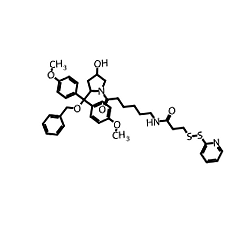 COc1ccc(C(OCc2ccccc2)(c2ccc(OC)cc2)C2CC(O)CN2C(=O)CCCCCNC(=O)CCSSc2ccccn2)cc1